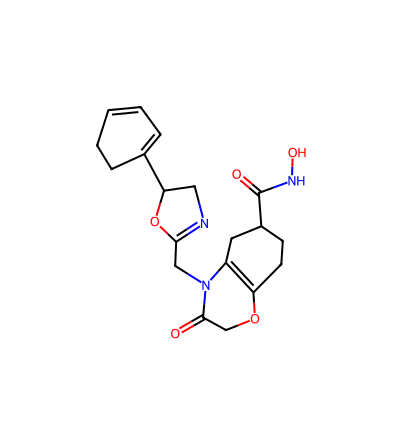 O=C(NO)C1CCC2=C(C1)N(CC1=NCC(C3=CC=CCC3)O1)C(=O)CO2